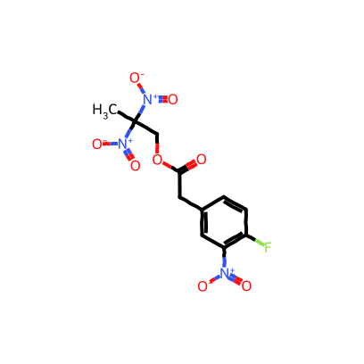 CC(COC(=O)Cc1ccc(F)c([N+](=O)[O-])c1)([N+](=O)[O-])[N+](=O)[O-]